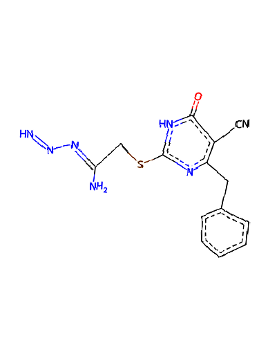 N#Cc1c(Cc2ccccc2)nc(SC/C(N)=N/N=N)[nH]c1=O